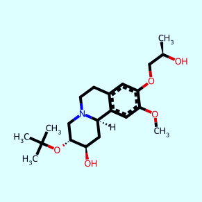 COc1cc2c(cc1OC[C@@H](C)O)CCN1C[C@@H](OC(C)(C)C)[C@H](O)C[C@H]21